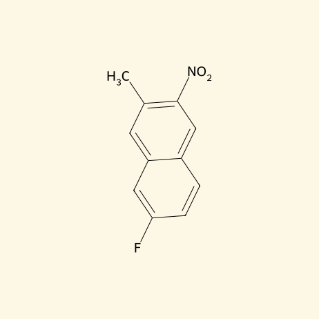 Cc1cc2cc(F)ccc2cc1[N+](=O)[O-]